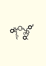 CCOCCn1c(N2CCCN(CCC3(Cc4ccc(F)cc4)CCN(Cc4ccccc4C)C3=O)CC2)nc2ccccc21